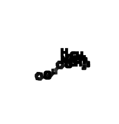 CC(C)(C)OC(=O)Nc1ccc(C2CC(COCc3ccccc3)C2)cc1